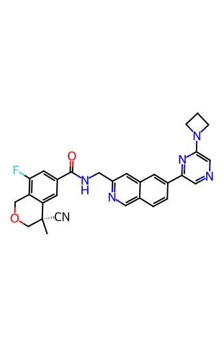 C[C@@]1(C#N)COCc2c(F)cc(C(=O)NCc3cc4cc(-c5cncc(N6CCC6)n5)ccc4cn3)cc21